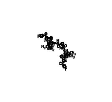 CNC(C)C(=O)NC(CCCCNC(=O)c1cccc(C(=O)NCCCCC(NC(=O)C(C)NC)C(=O)N2CCCC2c2cncc(C(=O)c3ccc(F)cc3)c2)c1)C(=O)N1CCCC1c1cncc(C(=O)c2ccc(F)cc2)c1